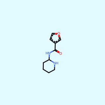 O=C(NC1CCCCN1)c1ccoc1